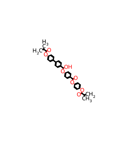 C=C(C)C(=O)Oc1ccc(OC(=O)c2ccc(OC(O)c3ccc(-c4ccc(OC(=O)C(=C)C)cc4)cc3)cc2)cc1